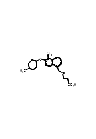 C[C@H]1CC[C@@H](Oc2ccc3c(CNCCC(=O)O)cccc3c2C(F)(F)F)CC1